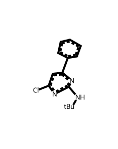 CC(C)(C)Nc1nc(Cl)cc(-c2ccccc2)n1